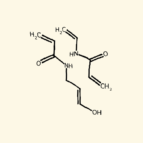 C=CC(=O)NCC=CO.C=CNC(=O)C=C